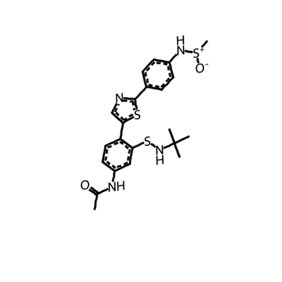 CC(=O)Nc1ccc(-c2cnc(-c3ccc(N[S+](C)[O-])cc3)s2)c(SNC(C)(C)C)c1